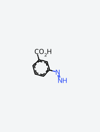 N=Nc1cccc(C(=O)O)c1